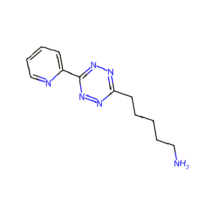 NCCCCCc1nnc(-c2ccccn2)nn1